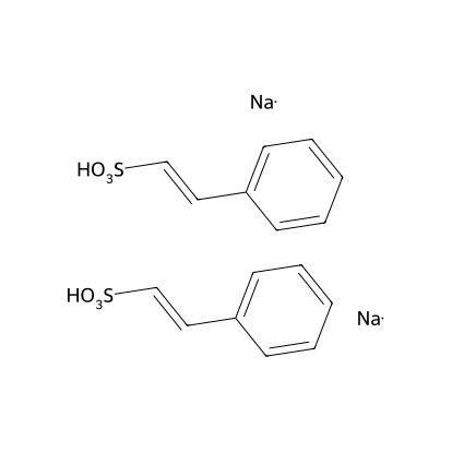 O=S(=O)(O)C=Cc1ccccc1.O=S(=O)(O)C=Cc1ccccc1.[Na].[Na]